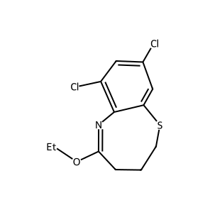 CCOC1=Nc2c(Cl)cc(Cl)cc2SCCC1